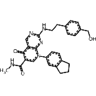 CNC(=O)c1cn(-c2ccc3c(c2)CCC3)c2nc(NCCc3ccc(CO)cc3)ncc2c1=O